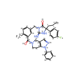 CC(C)CCC1(c2ccc(F)cc2)NC(=N)N(Cc2ccc(C(F)(F)F)c(C(=O)N3CCc4c(cnn4-c4ccccc4)C3)c2)C1=O